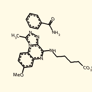 COc1ccc2c(c1)nc(NCCCCC(=O)O)c1nnc(C)n12.NC(=O)c1ccccc1